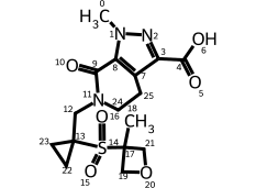 Cn1nc(C(=O)O)c2c1C(=O)N(CC1(S(=O)(=O)C3(C)COC3)CC1)CC2